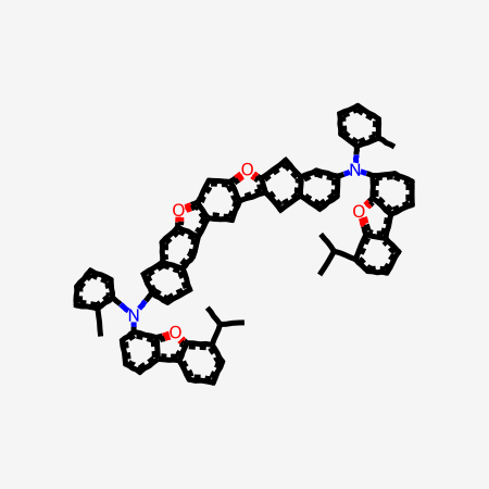 Cc1ccccc1N(c1ccc2cc3c(cc2c1)oc1cc2oc4cc5cc(N(c6ccccc6C)c6cccc7c6oc6c(C(C)C)cccc67)ccc5cc4c2cc13)c1cccc2c1oc1c(C(C)C)cccc12